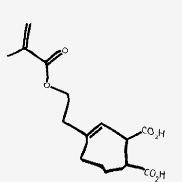 C=C(C)C(=O)OCCC1=CC(C(=O)O)C(C(=O)O)CC1